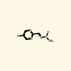 CC(C)(C)[S+]([O-])/N=C/c1ncc(F)cn1